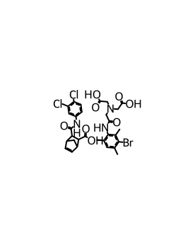 Cc1cc(C)c(NC(=O)CN(CC(=O)O)CC(=O)O)c(C)c1Br.O=C(O)C1C2C=CC(C2)C1C(=O)Nc1ccc(Cl)c(Cl)c1